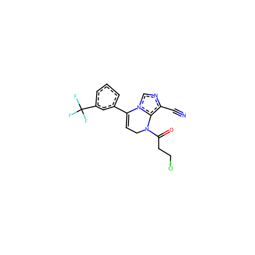 N#Cc1ncn2c1N(C(=O)CCCl)CC=C2c1cccc(C(F)(F)F)c1